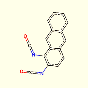 O=C=Nc1ccc2cc3ccccc3cc2c1N=C=O